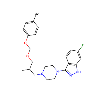 CC(=O)c1ccc(OCOCC(C)CN2CCN(c3n[nH]c4cc(F)ccc34)CC2)cc1